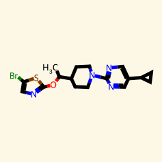 CC(Oc1ncc(Br)s1)C1CCN(c2ncc(C3CC3)cn2)CC1